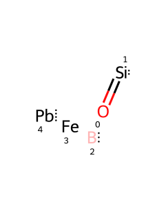 O=[Si].[B].[Fe].[Pb]